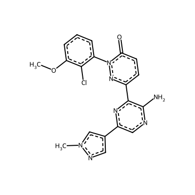 COc1cccc(-n2nc(-c3nc(-c4cnn(C)c4)cnc3N)ccc2=O)c1Cl